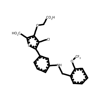 O=C(O)COc1c(C(=O)O)sc(-c2cccc(NCc3ccccc3OC(F)(F)F)c2)c1Cl